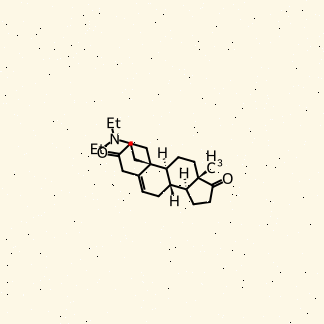 CCN(CC)CC[C@]12CCC(=O)CC1=CC[C@@H]1[C@@H]2CC[C@]2(C)C(=O)CC[C@@H]12